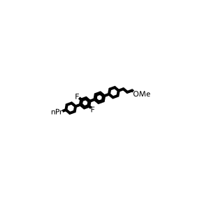 CCCC1CCC(c2cc(F)c(-c3ccc(C4CCC(CCCOC)CC4)cc3)cc2F)CC1